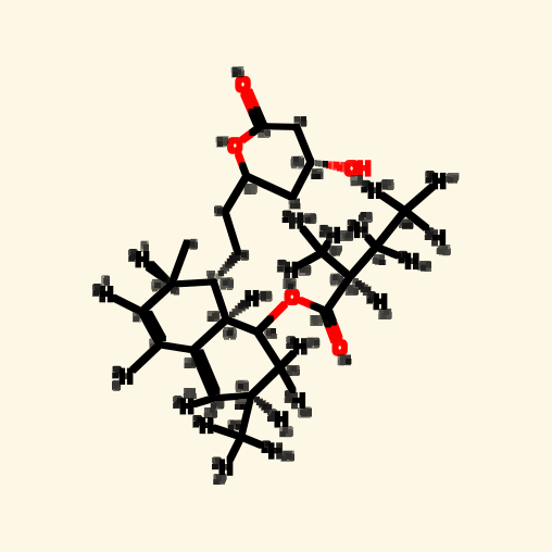 [2H]C1=C([2H])[C@]([2H])(C)[C@H](CCC2C[C@@H](O)CC(=O)O2)[C@@H]2C1=C([2H])[C@]([2H])(C([2H])([2H])[2H])C([2H])([2H])C2OC(=O)[C@@]([2H])(C([2H])([2H])[2H])C([2H])([2H])C([2H])([2H])[2H]